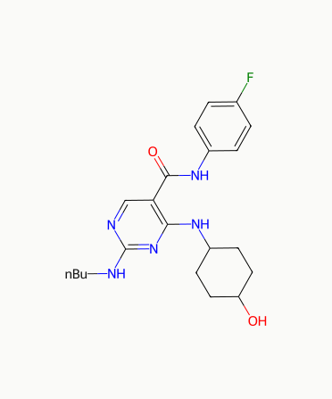 CCCCNc1ncc(C(=O)Nc2ccc(F)cc2)c(NC2CCC(O)CC2)n1